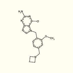 COc1cc(CN2C[CH]C2)ccc1Cn1ccc2nc(N)nc(Cl)c21